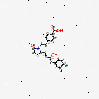 Cc1cc(C[C@H](O)/C=C/[C@H]2CCC(=O)N2CCc2ccc(C(=O)O)cc2)ccc1F